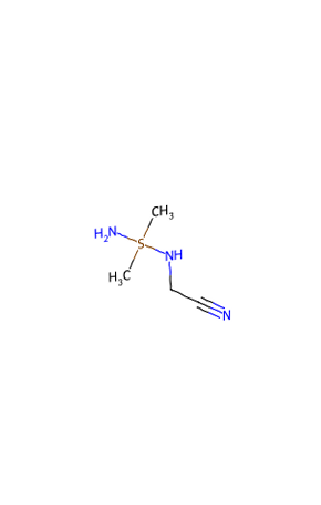 CS(C)(N)NCC#N